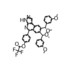 COc1cccc(C(OC)c2cc3c(-c4ccc(OC(=O)C(F)(F)F)cc4)nc4[nH]ncc4c3cc2C(OC)c2cccc(OC)c2)c1